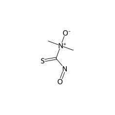 C[N+](C)([O-])C(=S)N=O